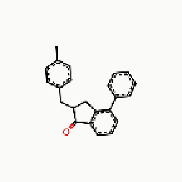 Cc1ccc(CC2Cc3c(cccc3-c3ccccc3)C2=O)cc1